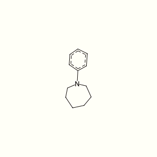 c1ccc(N2CCCCCC2)cc1